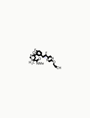 C#CCOc1cnc(/C(F)=C/c2ccc(F)c(C3(C)CC(C)(C(=O)NC)SC=N3)c2)cn1